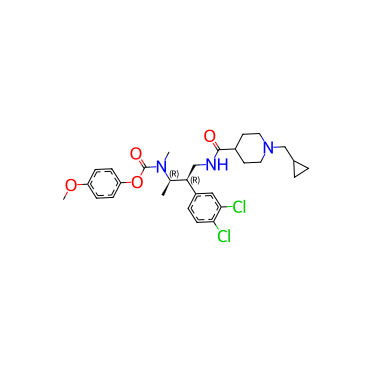 COc1ccc(OC(=O)N(C)[C@H](C)[C@@H](CNC(=O)C2CCN(CC3CC3)CC2)c2ccc(Cl)c(Cl)c2)cc1